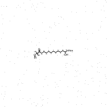 CCCCCCC(O)CCCCCCCCCCC(=O)C(C)(C)OCC